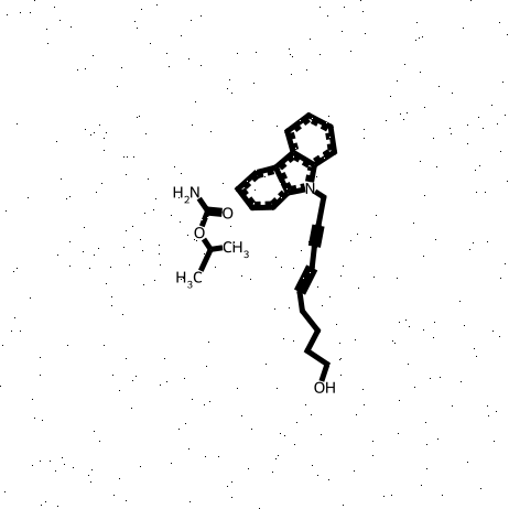 CC(C)OC(N)=O.OCCCCC#CC#CCn1c2ccccc2c2ccccc21